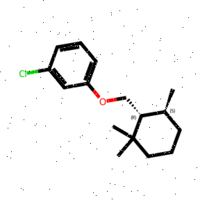 C[C@H]1CCCC(C)(C)[C@@H]1COc1cccc(Cl)c1